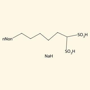 CCCCCCCCCCCCCCC(S(=O)(=O)O)S(=O)(=O)O.[NaH]